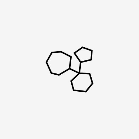 C1CCCC(C2(C3CCCC3)CCCCC2)CC1